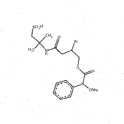 COC(C(=O)OCC(CC(=O)NC(C)(C)CS(=O)(=O)O)C(C)=O)c1ccccc1